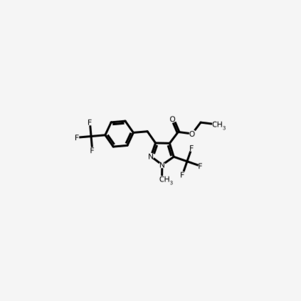 CCOC(=O)c1c(Cc2ccc(C(F)(F)F)cc2)nn(C)c1C(F)(F)F